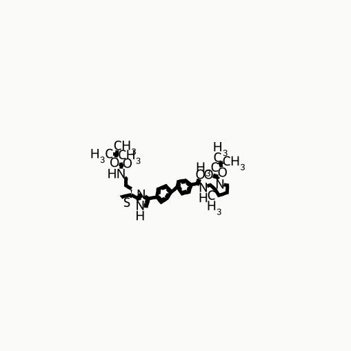 CC(C)(C)OC(=O)NCCC[C@@]1(c2nc(-c3ccc(-c4ccc(C(=O)NC[C@]5(C)CCCN5C(=O)OC(C)(C)C)cc4)cc3)c[nH]2)CS1